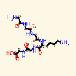 NCCCC[C@H](NC(=O)CNC(=O)CNC(=O)CN)C(=O)NCC(=O)NCC(=O)O